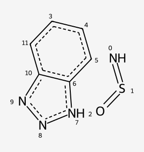 N=S=O.c1ccc2[nH]nnc2c1